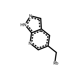 [Rb][CH2]c1cnc2[nH]ncc2c1